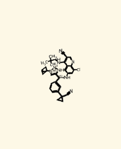 CC(C)(C)CNc1c(C#N)cnc2c(Cl)cc(N[C@H](C3=CN(C45CC(C4)C5)NN3)c3cccc(C4(C#N)CC4)c3)cc12